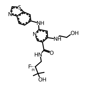 CC(C)(O)[C@H](F)CNC(=O)c1cnc(Nc2ccc3ncsc3c2)cc1NCCO